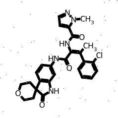 CC(=C(NC(=O)c1ccnn1C)C(=O)Nc1ccc2c(c1)NC(=O)C21CCOCC1)c1ccccc1Cl